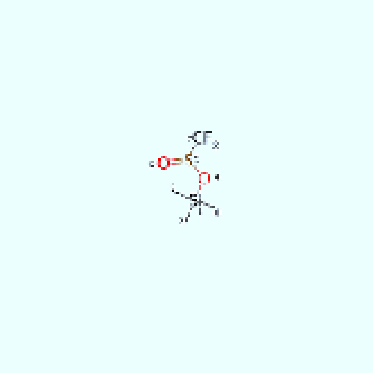 C[Si](C)(C)OS(=O)C(F)(F)F